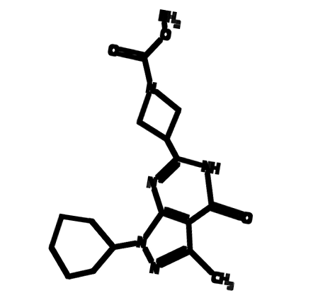 BOC(=O)N1CC(c2nc3c(c(C)nn3C3CCCCC3)c(=O)[nH]2)C1